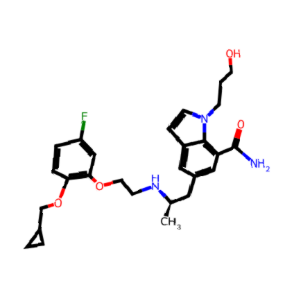 C[C@H](Cc1cc(C(N)=O)c2c(ccn2CCCO)c1)NCCOc1cc(F)ccc1OCC1CC1